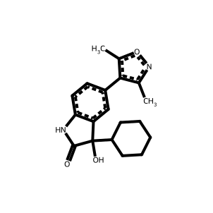 Cc1noc(C)c1-c1ccc2c(c1)C(O)(C1CCCCC1)C(=O)N2